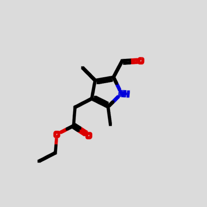 CCOC(=O)Cc1c(C)[nH]c(C=O)c1C